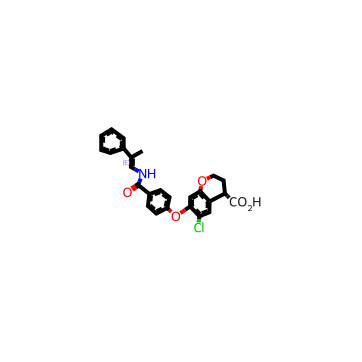 C/C(=C\NC(=O)c1ccc(Oc2cc3c(cc2Cl)C(C(=O)O)CCO3)cc1)c1ccccc1